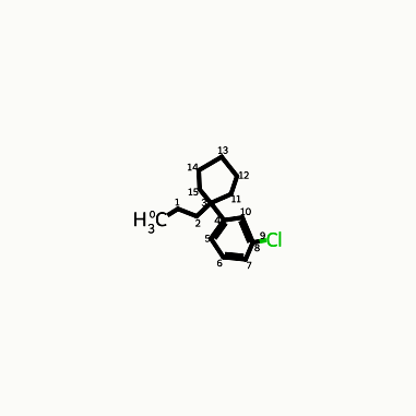 CCCC1(c2cccc(Cl)c2)CCCCC1